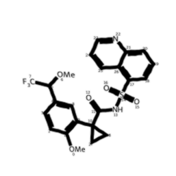 COc1ccc(C(OC)C(F)(F)F)cc1C1(C(=O)NS(=O)(=O)c2cccc3ncccc23)CC1